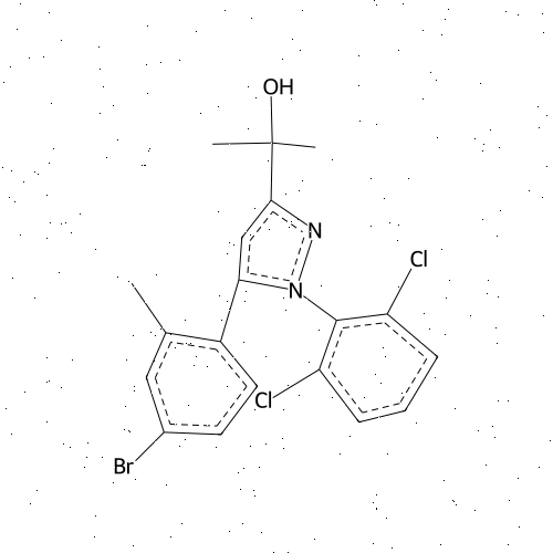 Cc1cc(Br)ccc1-c1cc(C(C)(C)O)nn1-c1c(Cl)cccc1Cl